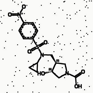 O=C(O)N1C[C@H](CN(C2CC2)S(=O)(=O)c2ccc([N+](=O)[O-])cc2)[C@@H](O)C1